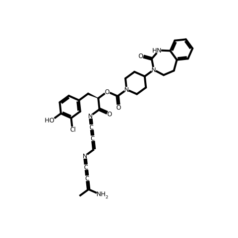 CC(N)=C=C=NC=C=C=NC(=O)[C@@H](Cc1ccc(O)c(Cl)c1)OC(=O)N1CCC(N2CCc3ccccc3NC2=O)CC1